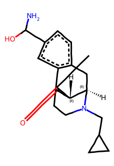 NC(O)c1ccc2c(c1)C13CCN(CC4CC4)[C@H](C2)[C@@H]1CCC(=O)C3